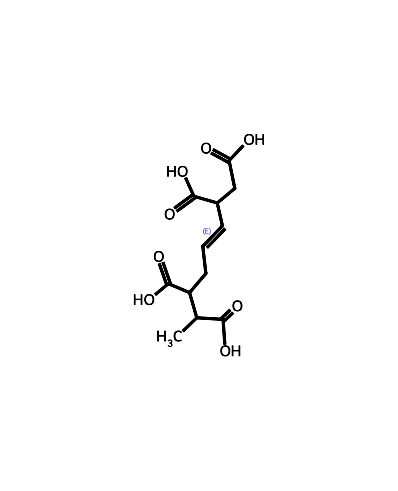 CC(C(=O)O)C(C/C=C/C(CC(=O)O)C(=O)O)C(=O)O